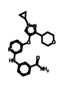 NC(=O)c1cccc(Nc2cc(Oc3cn(C4CC4)nc3C3CCOCC3)ccn2)c1